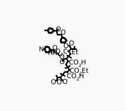 CCOC(=O)C(C(CC(C)(C)C1C(=O)OC(=O)C1C)C(=O)O)C(C)(C)CC(C(=O)O)C(C(=O)OCCNC(=O)c1ccc(N(C)C)cc1)C(C)(C)CC(C(=O)O)C(C(=O)Oc1ccc(C(=O)CC(=O)c2ccc(C)cc2)cc1)C(C)(C)CC